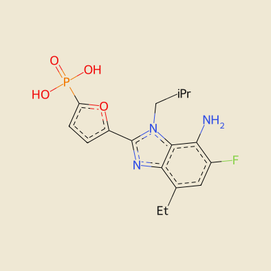 CCc1cc(F)c(N)c2c1nc(-c1ccc(P(=O)(O)O)o1)n2CC(C)C